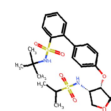 CC(C)S(=O)(=O)N[C@H]1COC[C@H]1Oc1ccc(-c2ccccc2S(=O)(=O)NC(C)(C)C)cc1